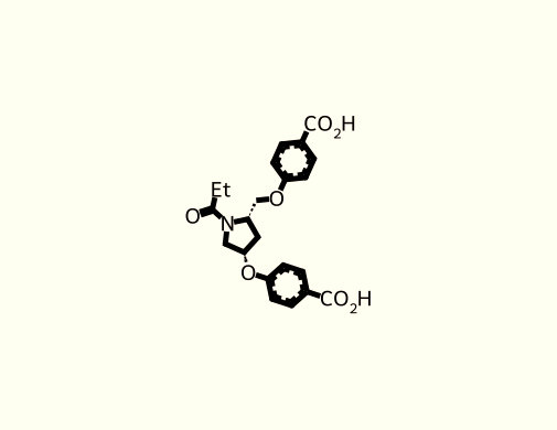 CCC(=O)N1C[C@@H](Oc2ccc(C(=O)O)cc2)C[C@H]1COc1ccc(C(=O)O)cc1